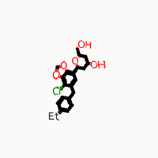 CCc1ccc(Cc2cc(C3CC(O)CC(CO)O3)c3c(c2Cl)OCO3)cc1